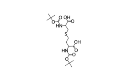 CC(C)(C)OC(=O)NC(CCSCC(NC(=O)OC(C)(C)C)C(=O)O)C(=O)O